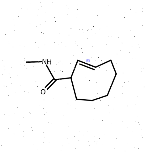 CNC(=O)C1/C=C/CCCCC1